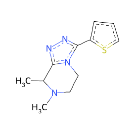 CC1c2nnc(-c3cccs3)n2CCN1C